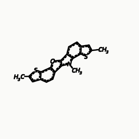 Cc1cc2ccc3c(oc4c5ccc6cc(C)sc6c5n(C)c34)c2s1